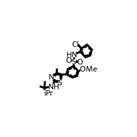 COc1ccc(-c2sc(NC(C)(C)C(C)C)nc2C)cc1S(=O)(=O)Nc1ccccc1Cl